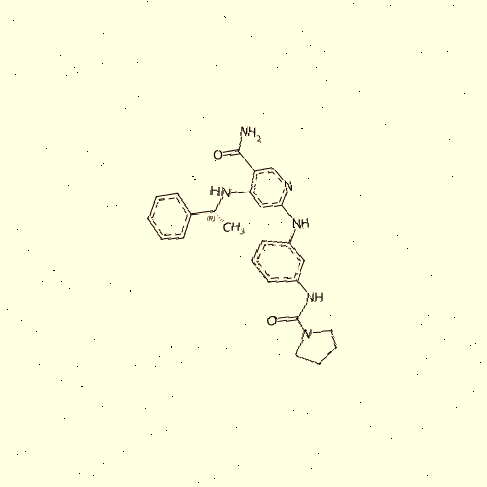 C[C@@H](Nc1cc(Nc2cccc(NC(=O)N3CCCC3)c2)ncc1C(N)=O)c1ccccc1